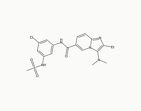 CCc1nc2ccc(C(=O)Nc3cc(Cl)cc(NS(C)(=O)=O)c3)cn2c1N(C)C